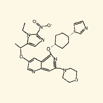 CCn1c(C(C)Oc2cnc3cc(N4CCOCC4)nc(O[C@H]4CC[C@@H](n5ccnc5)CC4)c3c2)cnc1[N+](=O)[O-]